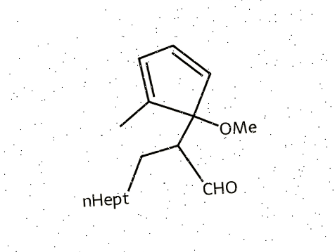 CCCCCCCCC(C=O)C1(OC)C=CC=C1C